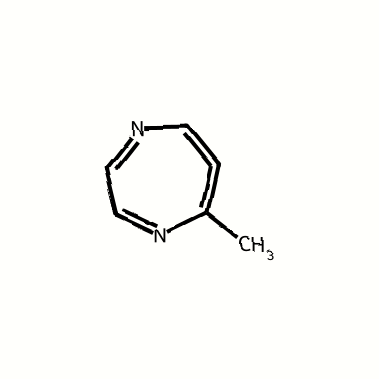 CC1=C=CN=CC=N1